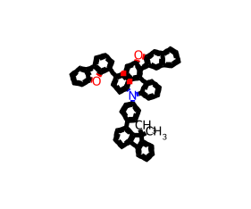 CC1(C)c2ccccc2-c2cccc(-c3ccc(N(c4ccc(-c5cccc6c5oc5ccccc56)cc4)c4ccccc4-c4cccc5oc6cc7ccccc7cc6c45)cc3)c21